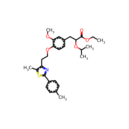 CCOC(=O)C(Cc1ccc(OCCc2nc(-c3ccc(C)cc3)sc2C)c(OC)c1)OC(C)C